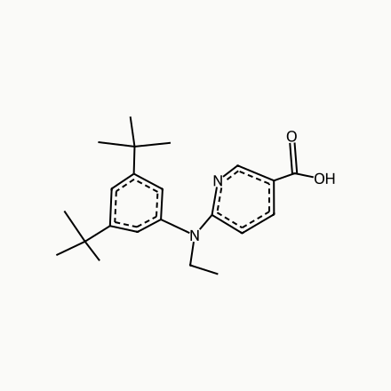 CCN(c1cc(C(C)(C)C)cc(C(C)(C)C)c1)c1ccc(C(=O)O)cn1